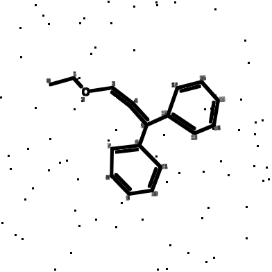 CCOC=C=C(c1ccccc1)c1ccccc1